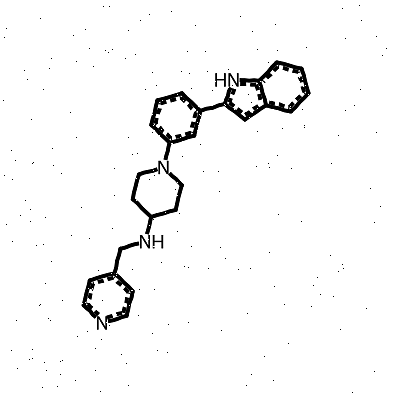 c1cc(-c2cc3ccccc3[nH]2)cc(N2CCC(NCc3ccncc3)CC2)c1